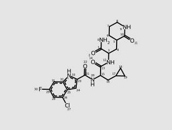 NC(=O)C(CC1CCCNC1=O)NC(=O)C(CC1CC1)NC(=O)c1cc2c(Cl)cc(F)cc2[nH]1